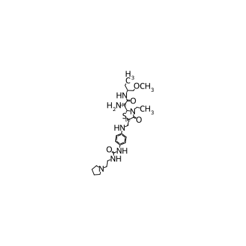 CCC(COC)NC(=O)[C@@H](N)C1S[C@H](CNc2ccc(NC(=O)NCCN3CCCC3)cc2)C(=O)N1CC